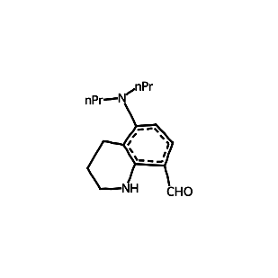 CCCN(CCC)c1ccc(C=O)c2c1CCCN2